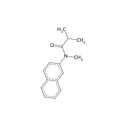 CC(C)C(=O)N(C)c1ccc2ccccc2c1